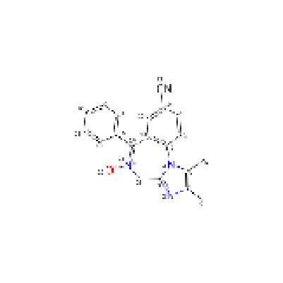 Cc1nc2n(c1C)-c1ccc(C#N)cc1C(c1ccccc1)=[N+]([O-])C2